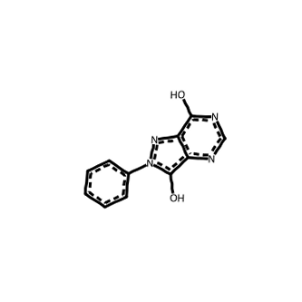 Oc1ncnc2c(O)n(-c3ccccc3)nc12